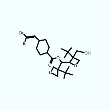 CC(C)(C)C1(CO)COC1C(OC(=O)C1CCC(C=C(Br)Br)CC1)C1(C(C)(C)C)COC1